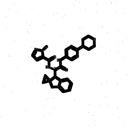 Cn1nccc1C(=O)N[C@H](C(=O)Nc1ccc(C2CCOCC2)nc1)C1c2ccccc2CC12CC2